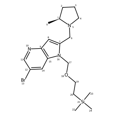 C[C@H]1CCCN1Cc1cc2ncc(Br)cc2n1COCC[Si](C)(C)C